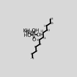 O=P(O)(O)O.[CH2]CCCCCCCCCCC.[KH].[NaH]